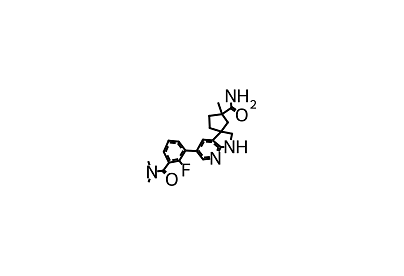 CN(C)C(=O)c1cccc(-c2cnc3c(c2)C2(CCC(C)(C(N)=O)C2)CN3)c1F